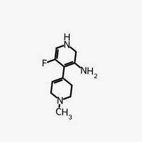 CN1CC=C(C2=C(N)CNC=C2F)CC1